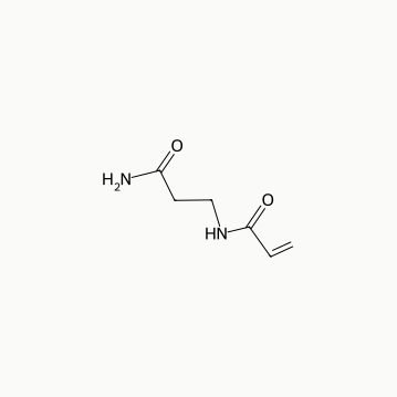 C=CC(=O)NCCC(N)=O